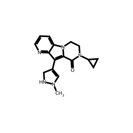 CN1C=C(c2c3n(c4cccnc24)CCN(C2CC2)C3=O)CN1